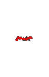 COC(CC1CCCC(C(=O)C(=O)N2CCCCC2)O1)/C(C)=C/C=C/C=C/C(C)CC(C)C(=O)CC(O)/C(C)=C/C(C)CCC(CCC1CCC(OC=O)CC1)OC=O